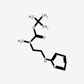 CN(CCNc1ccccn1)C(=O)OC(C)(C)C